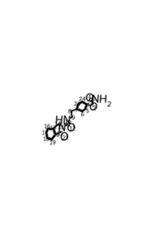 NS(=O)(=O)c1ccc(CCNC(=O)N2Cc3ccccc3C2=O)cc1